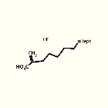 C=C(CCCCCCCCCCCC)C(=O)O.F